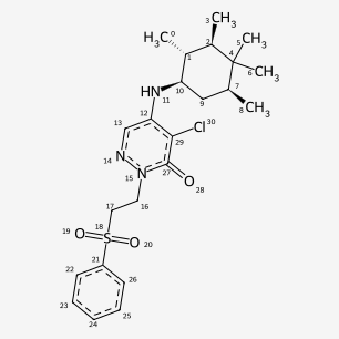 C[C@@H]1[C@@H](C)C(C)(C)[C@@H](C)C[C@H]1Nc1cnn(CCS(=O)(=O)c2ccccc2)c(=O)c1Cl